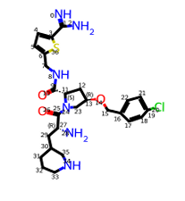 N=C(N)c1ccc(CNC(=O)[C@@H]2C[C@@H](OCc3ccc(Cl)cc3)CN2C(=O)[C@H](N)CC2CCCNC2)s1